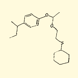 CCC(C)c1ccc(OC(C)OCCSC2CCCCC2)cc1